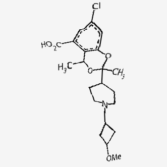 COC1CC(N2CCC(C3(C)Oc4cc(Cl)cc(C(=O)O)c4C(C)O3)CC2)C1